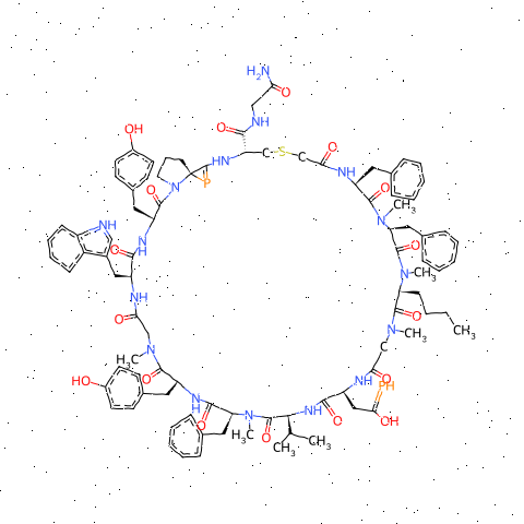 CCCC[C@H]1C(=O)N(C)CC(=O)N[C@@H](CC(O)=P)C(=O)N[C@@H](C(C)C)C(=O)N(C)[C@@H](Cc2ccccc2)C(=O)N[C@@H](Cc2ccc(O)cc2)C(=O)N(C)CC(=O)N[C@@H](Cc2c[nH]c3ccccc23)C(=O)N[C@@H](Cc2ccc(O)cc2)C(=O)N2CCC[C@@]23P=C3N[C@H](C(=O)NCC(N)=O)CSCC(=O)N[C@@H](Cc2ccccc2)C(=O)N(C)[C@@H](Cc2ccccc2)C(=O)N1C